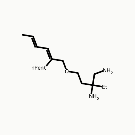 C/C=C/C=C(\CCCCC)COCCC(N)(CC)CN